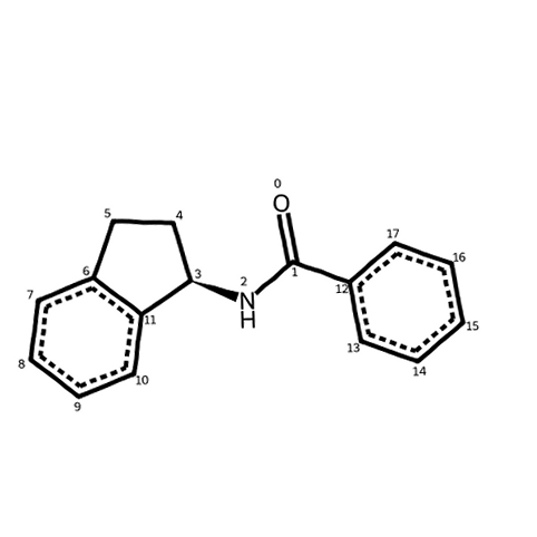 O=C(N[C@@H]1CCc2ccccc21)c1ccccc1